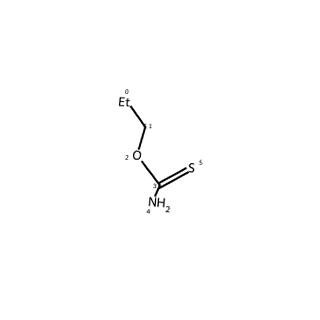 CC[CH]OC(N)=S